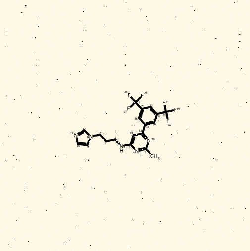 Cc1nc(NCCCn2ccnc2)cc(-c2cc(C(F)(F)F)cc(C(F)(F)F)c2)n1